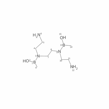 CB(O)N(CCN)CCN(CCN)B(C)O